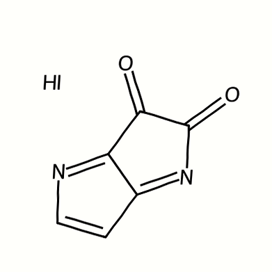 I.O=c1nc2ccnc-2c1=O